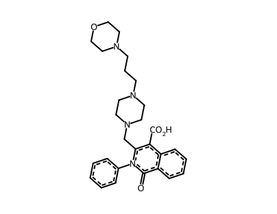 O=C(O)c1c(CN2CCN(CCCN3CCOCC3)CC2)n(-c2ccccc2)c(=O)c2ccccc12